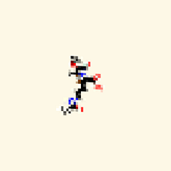 COC1C(=O)N2C(C(=O)O)=C(CCCNC(C)=O)S[C@@H]12